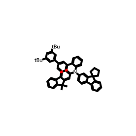 CC(C)(C)c1cc(-c2cccc(-c3ccccc3N(c3ccc4c(c3)C(C)(C)c3ccccc3-4)c3ccc4c(c3)C3(CCCC3)c3ccccc3-4)c2)cc(C(C)(C)C)c1